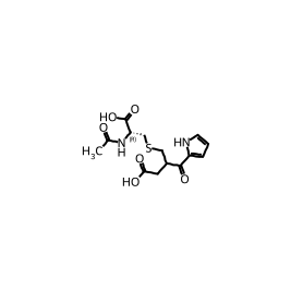 CC(=O)N[C@@H](CSCC(CC(=O)O)C(=O)c1ccc[nH]1)C(=O)O